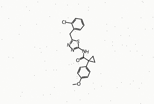 COc1ccc(C2(C(=O)Nc3nnc(Cc4ccccc4Cl)s3)CC2)cc1